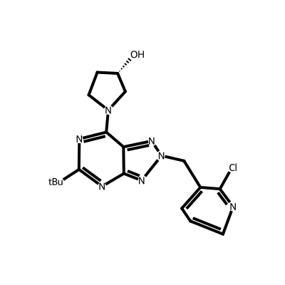 CC(C)(C)c1nc(N2CC[C@H](O)C2)c2nn(Cc3cccnc3Cl)nc2n1